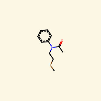 CSCCN(C(C)=O)c1ccccc1